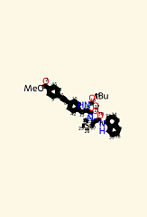 COC(=O)c1ccc(C#Cc2ccc(CC(NC(=O)OC(C)(C)C)C(=O)N3C[Si](C)(C)CC3C(=O)N[C@@H]3CCCc4ccccc43)cc2)cc1